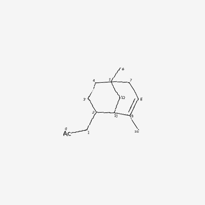 CC(=O)CC1CCC2(C)CC=C(C)C1C2